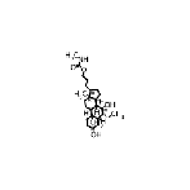 CC[C@H]1[C@@H](O)[C@@H]2[C@H](CC[C@]3(C)[C@@H](CCCOC(=O)NC)CC[C@@H]23)[C@@]2(C)CC[C@@H](O)C[C@@H]12